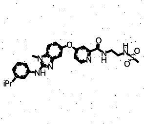 CC(C)c1cccc(Nc2nc3cc(Oc4ccnc(C(=O)NCCNS(C)(=O)=O)c4)ccc3n2C)c1